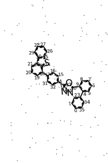 c1ccc(-c2ccccc2-c2nnc(-c3ccc(-c4cccc5c4sc4ccccc45)cc3)o2)cc1